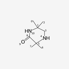 CC1(C)CNC(C)(C)C(=O)N1